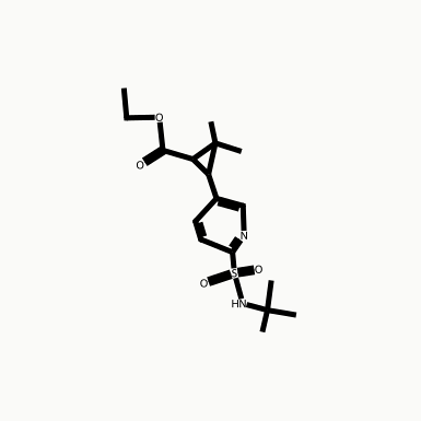 CCOC(=O)C1C(c2ccc(S(=O)(=O)NC(C)(C)C)nc2)C1(C)C